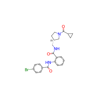 O=C(Nc1ccccc1C(=O)NC[C@@H]1CCN(C(=O)C2CC2)C1)c1ccc(Br)cc1